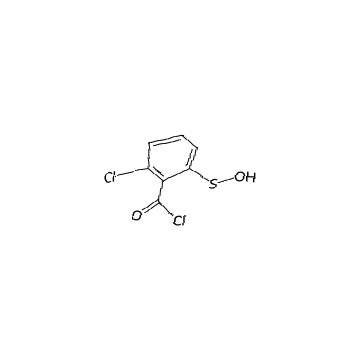 O=C(Cl)c1c(Cl)cccc1SO